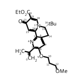 C=C(C)c1nc2c(cc1OCCCOC)C[C@@H](C(C)(C)C)n1cc(C(=O)OCC)c(=O)cc1-2